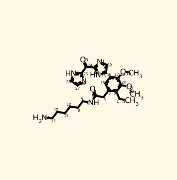 CCc1c(CC(=O)NCCCCCCN)ccc(OC)c1OC.O=C(c1ncc[nH]1)c1ncc[nH]1